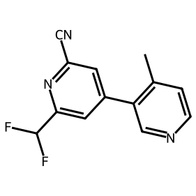 Cc1ccncc1-c1cc(C#N)nc(C(F)F)c1